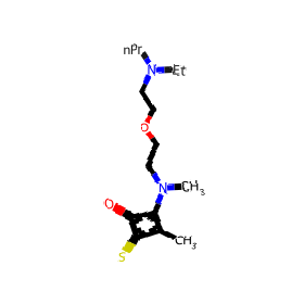 CCCN(CC)CCOCCN(C)c1c(C)c(=S)c1=O